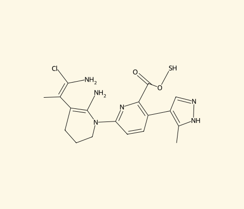 C/C(C1=C(N)N(c2ccc(-c3cn[nH]c3C)c(C(=O)OS)n2)CCC1)=C(/N)Cl